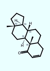 C[C@@]12CCC[C@H]1[C@@H]1CCC3CC=CC(=O)[C@]3(C)[C@H]1CC2